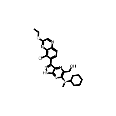 CCOc1cnc2ccc(-c3n[nH]c4nc(N(C)C5CCCCC5)c(CO)nc34)c(Cl)c2n1